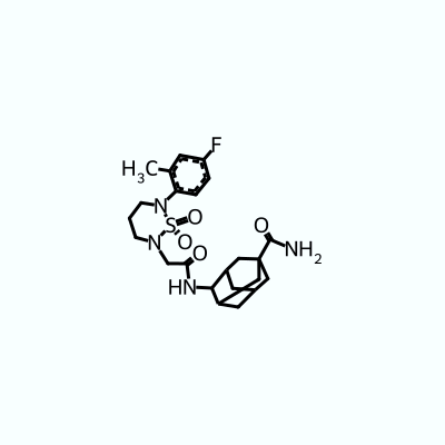 Cc1cc(F)ccc1N1CCCN(CC(=O)NC2C3CC4CC2CC(C(N)=O)(C4)C3)S1(=O)=O